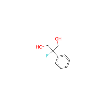 OCC(F)(CO)c1ccccc1